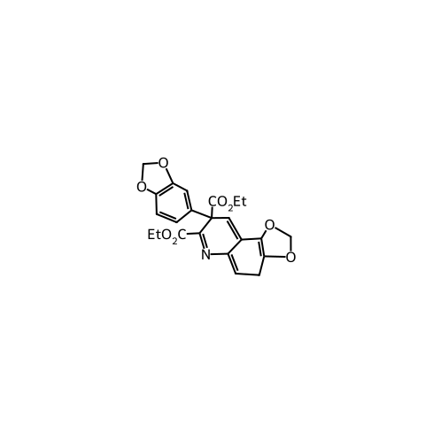 CCOC(=O)C1=NC2=CCC3=C(OCO3)C2=CC1(C(=O)OCC)c1ccc2c(c1)OCO2